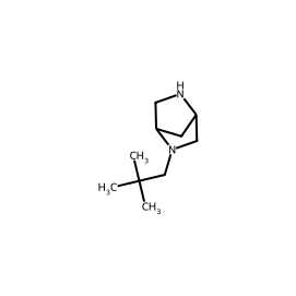 CC(C)(C)CN1CC2CC1CN2